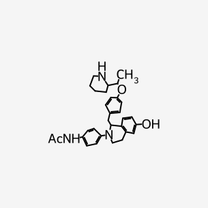 CC(=O)Nc1ccc(N2CCc3cc(O)ccc3C2Cc2ccc(OC(C)C3CCCCN3)cc2)cc1